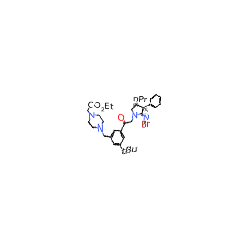 CCC[C@H]1CN(CC(=O)c2cc(CN3CCN(CC(=O)OCC)CC3)cc(C(C)(C)C)c2)/C(=N\Br)[C@@H]1c1ccccc1